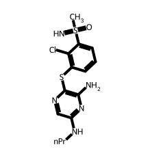 CCCNc1cnc(Sc2cccc(S(C)(=N)=O)c2Cl)c(N)n1